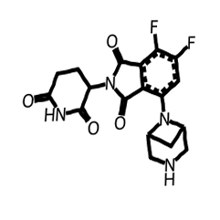 O=C1CCC(N2C(=O)c3c(N4C5CNCC4C5)cc(F)c(F)c3C2=O)C(=O)N1